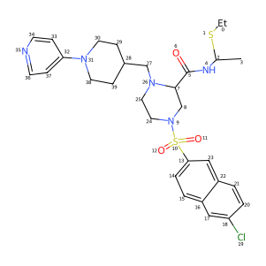 CCSC(C)NC(=O)C1CN(S(=O)(=O)c2ccc3cc(Cl)ccc3c2)CCN1CC1CCN(c2ccncc2)CC1